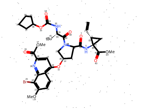 C=C[C@@H]1C[C@]1(NC(=O)C1C[C@@H](Oc2cc(C(=O)OC)nc3c(Br)c(OC)ccc23)CN1C(=O)[C@@H](NC(=O)OC1CCCC1)C(C)(C)C)C(=O)OC